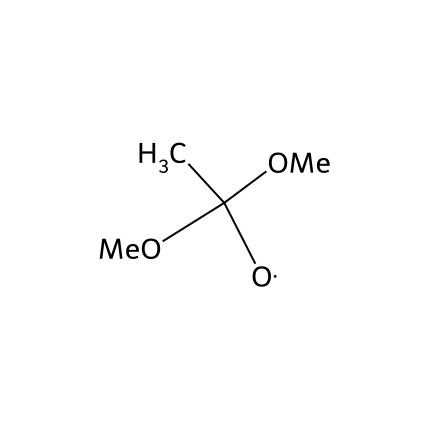 COC(C)([O])OC